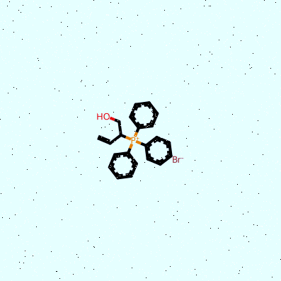 C=CC(CO)[P+](c1ccccc1)(c1ccccc1)c1ccccc1.[Br-]